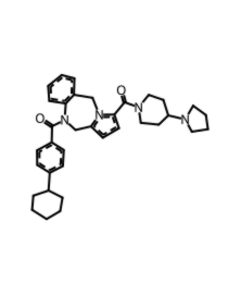 O=C(c1ccc2n1Cc1ccccc1N(C(=O)c1ccc(C3CCCCC3)cc1)C2)N1CCC(N2CCCC2)CC1